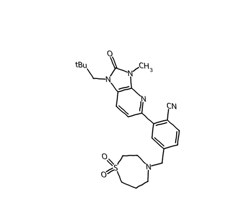 Cn1c(=O)n(CC(C)(C)C)c2ccc(-c3cc(CN4CCCS(=O)(=O)CC4)ccc3C#N)nc21